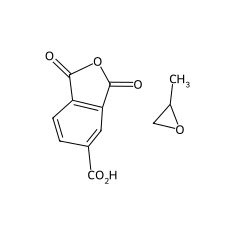 CC1CO1.O=C(O)c1ccc2c(c1)C(=O)OC2=O